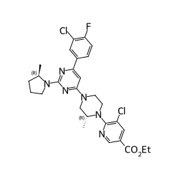 CCOC(=O)c1cnc(N2CCN(c3cc(-c4ccc(F)c(Cl)c4)nc(N4CCC[C@H]4C)n3)C[C@H]2C)c(Cl)c1